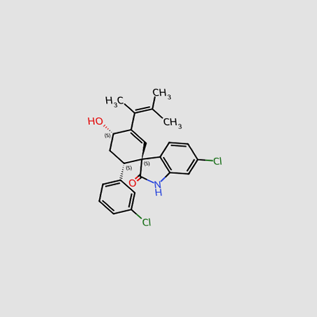 CC(C)=C(C)C1=C[C@@]2(C(=O)Nc3cc(Cl)ccc32)[C@H](c2cccc(Cl)c2)C[C@@H]1O